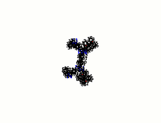 c1ccc2c(c1)-c1ccccc1C21c2ccccc2-c2ccc(-c3cc(-c4ccc(-c5nccc6ccccc56)cc4)nc(-c4ccc(-c5ccc(-c6nc(-c7ccc(-c8nccc9ccccc89)cc7)cc(-c7ccc8c(c7)C7(c9ccccc9-c9ccccc97)c7ccccc7-8)n6)cc5)cc4)n3)cc21